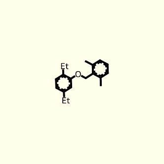 CCc1ccc(CC)c(OCc2c(C)cccc2C)c1